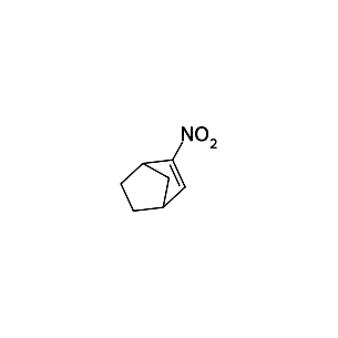 O=[N+]([O-])C1=CC2CCC1C2